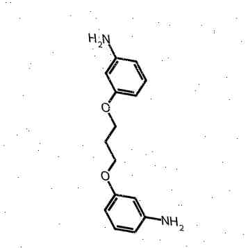 Nc1cccc(OCCCOc2cccc(N)c2)c1